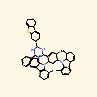 CC1=CCCc2c1n(C1CC(N3c4c(C)cccc4C4C=CCC(C)C43)C(C#N)C=C1C1NC(C3C=CC=CC3)NC(C3CC=C4C(C3)SC3=CC=CCC34)N1)c1c(C)cccc21